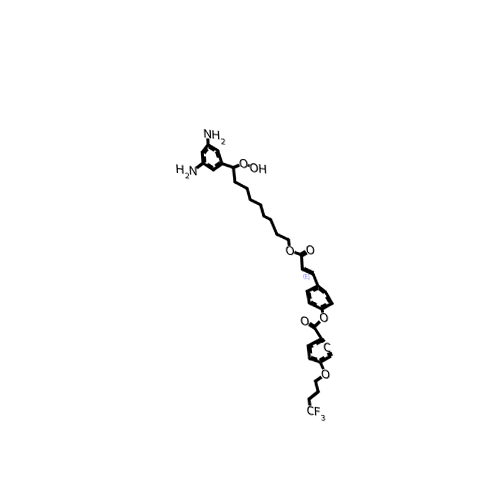 Nc1cc(N)cc(C(CCCCCCCCOC(=O)/C=C/c2ccc(OC(=O)c3ccc(OCCCC(F)(F)F)cc3)cc2)OO)c1